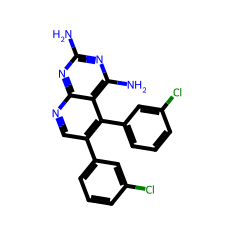 Nc1nc(N)c2c(-c3cccc(Cl)c3)c(-c3cccc(Cl)c3)cnc2n1